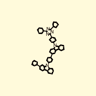 c1ccc(-c2ccc3c4ccccc4n(-c4ccc(-c5ccc6c(c5)c5ccccc5n6-c5ccc(-c6nc(-c7ccccc7)nc(-c7ccccc7)n6)cc5)cc4)c3c2)cc1